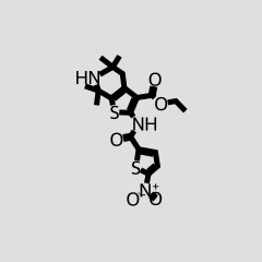 CCOC(=O)c1c(NC(=O)c2ccc([N+](=O)[O-])s2)sc2c1CC(C)(C)NC2(C)C